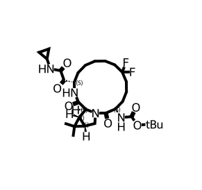 CC(C)(C)OC(=O)N[C@H]1CCCC(F)(F)CCCCC[C@@H](C(=O)C(=O)NC2CC2)NC(=O)[C@@H]2[C@@H]3[C@H](CN2C1=O)C3(C)C